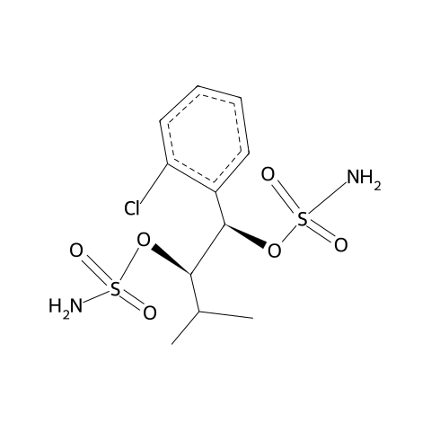 CC(C)[C@@H](OS(N)(=O)=O)[C@H](OS(N)(=O)=O)c1ccccc1Cl